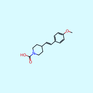 COc1ccc(C=CC2CCN(C(=O)O)CC2)cc1